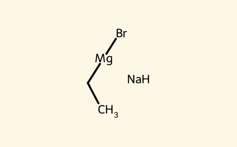 C[CH2][Mg][Br].[NaH]